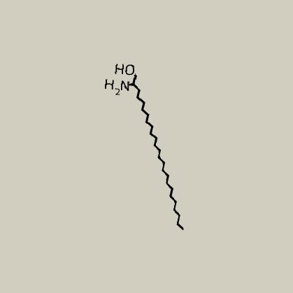 CCCCCCCCCCCCCCCCCCCCCCCC(N)CO